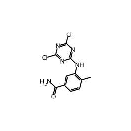 Cc1ccc(C(N)=O)cc1Nc1nc(Cl)nc(Cl)n1